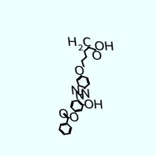 C=C(CCCCOc1ccc2nn(-c3ccc(OC(=O)c4ccccc4)cc3O)nc2c1)C(=O)O